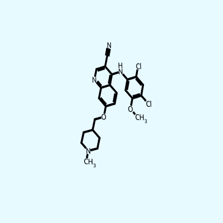 COc1cc(Nc2c(C#N)cnc3cc(OCC4CCN(C)CC4)ccc23)c(Cl)cc1Cl